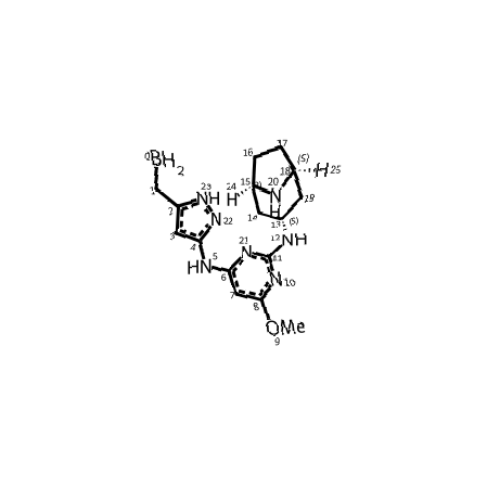 BCc1cc(Nc2cc(OC)nc(N[C@@H]3C[C@H]4CC[C@@H](C3)N4)n2)n[nH]1